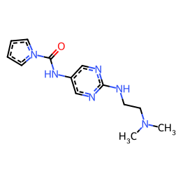 CN(C)CCNc1ncc(NC(=O)n2cccc2)cn1